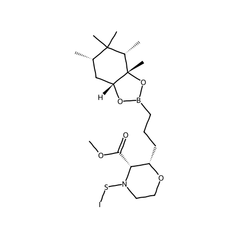 COC(=O)[C@@H]1[C@H](CCCB2O[C@@H]3C[C@H](C)C(C)(C)[C@H](C)[C@]3(C)O2)OCCN1SI